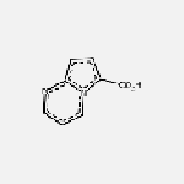 O=C(O)c1ccc2ncccn12